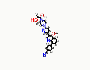 COc1c(-c2ccc(N3C[C@@H](C)N(C(=O)C(C)O)[C@@H](C)C3)nc2)cnc2c(-c3ccc(C#N)cc3)cccc12